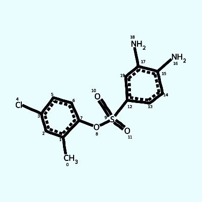 Cc1cc(Cl)ccc1OS(=O)(=O)c1ccc(N)c(N)c1